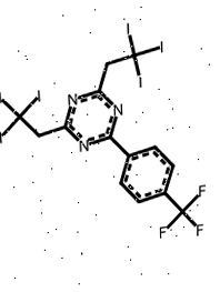 FC(F)(F)c1ccc(-c2nc(CC(I)(I)I)nc(CC(I)(I)I)n2)cc1